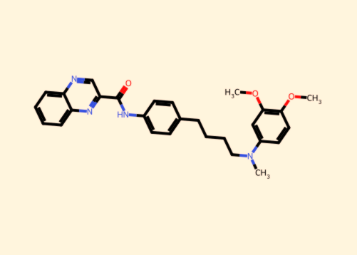 COc1ccc(N(C)CCCCc2ccc(NC(=O)c3cnc4ccccc4n3)cc2)cc1OC